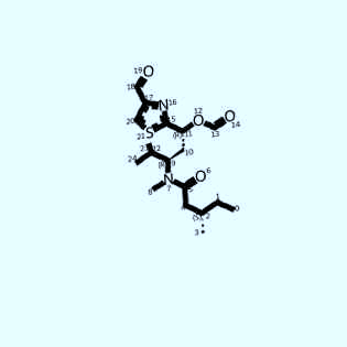 CC[C@H](C)CC(=O)N(C)[C@H](C[C@@H](OC=O)c1nc(C=O)cs1)C(C)C